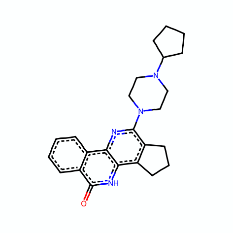 O=c1[nH]c2c3c(c(N4CCN(C5CCCC5)CC4)nc2c2ccccc12)CCC3